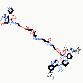 CC(C)N(C)[C@@H]1CC[C@H](N2CC[C@H](Nc3ncnc4ccc(C(F)(F)F)cc34)C2=O)[C@H](NC(=O)COCCNC(=O)CCNCCCOCCOCCNC(=O)[C@H]2CC(=O)N(C)[C@@H]2c2cccnc2)C1